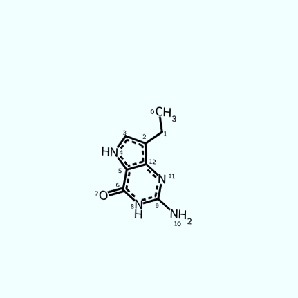 CCc1c[nH]c2c(=O)[nH]c(N)nc12